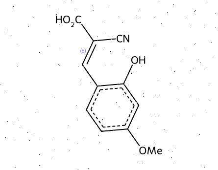 COc1ccc(/C=C(\C#N)C(=O)O)c(O)c1